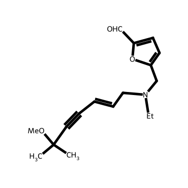 CCN(C/C=C/C#CC(C)(C)OC)Cc1ccc(C=O)o1